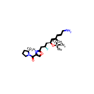 CC(/C=C/CN)=C\[C@H](C[C@@H](F)Cc1nc(C(=O)N2CCC[C@@H]2C(=O)O)co1)O[Si](C)(C)C(C)(C)C